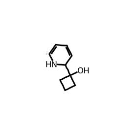 OC1(C2C=CC=[C]N2)CCC1